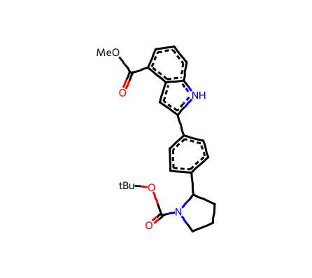 COC(=O)c1cccc2[nH]c(-c3ccc(C4CCCN4C(=O)OC(C)(C)C)cc3)cc12